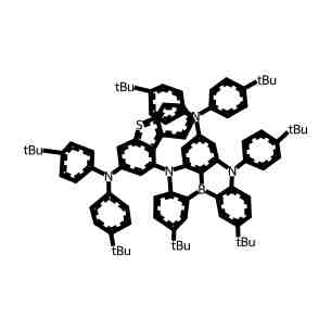 CC(C)(C)c1ccc(N(c2ccc(C(C)(C)C)cc2)c2cc3c4c(c2)N(c2cc(N(c5ccc(C(C)(C)C)cc5)c5ccc(C(C)(C)C)cc5)cc5sc6ccccc6c25)c2ccc(C(C)(C)C)cc2B4c2cc(C(C)(C)C)ccc2N3c2ccc(C(C)(C)C)cc2)cc1